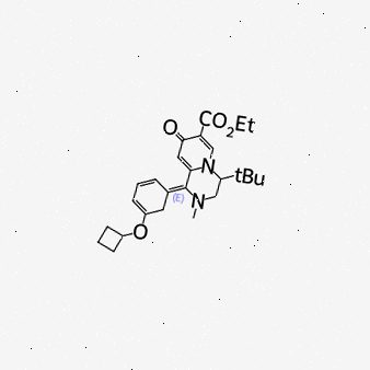 CCOC(=O)c1cn2c(cc1=O)/C(=C1\C=CC=C(OC3CCC3)C1)N(C)CC2C(C)(C)C